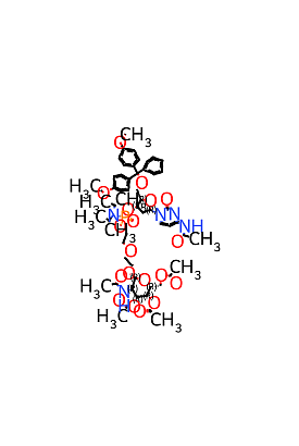 COc1ccc(C(OC[C@H]2O[C@@H](n3ccc(NC(C)=O)nc3=O)C[C@@H]2OP(=O)(OCCOCCO[C@@H]2O[C@H](COC(C)=O)[C@H](OC(C)=O)[C@H](OC(C)=O)[C@H]2NC(C)=O)N(C(C)C)C(C)C)(c2ccccc2)c2ccc(OC)cc2)cc1